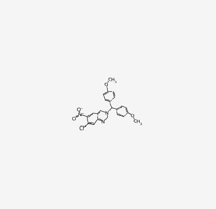 COc1ccc(C(c2ccc(OC)cc2)N2C=c3cc([N+](=O)[O-])c(Cl)cc3=NC2)cc1